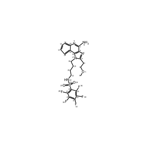 COCCc1nc2c(N)nc3ccccc3c2n1CCCCNS(=O)(=O)c1c(F)c(F)c(F)c(F)c1F